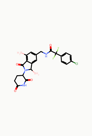 Bc1cc(CNC(=O)C(F)(F)c2ccc(Cl)cc2)cc2c1C(=O)N(C1CCC(=O)NC1=O)C2B